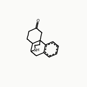 O=C1CCC2C3Cc4ccccc4C2(CCN3)C1